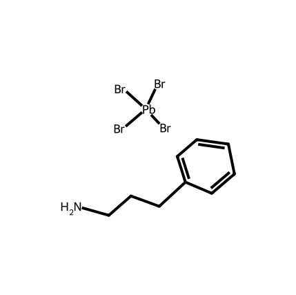 NCCCc1ccccc1.[Br][Pb]([Br])([Br])[Br]